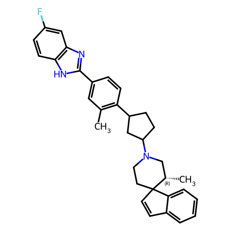 Cc1cc(-c2nc3cc(F)ccc3[nH]2)ccc1C1CCC(N2CCC3(C=Cc4ccccc43)[C@@H](C)C2)C1